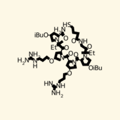 CCC(C)(C(=O)CNC(=O)CCCS)N1C[C@H](OCC(C)C)C[C@H]1C(=O)N1C[C@H](OCCCNC(=N)N)C[C@H]1C(=O)N1C[C@H](OCCCNC(N)N)C[C@H]1C(=O)C(C)(CC)N1C[C@H](OCC(C)C)C[C@H]1C(N)=O